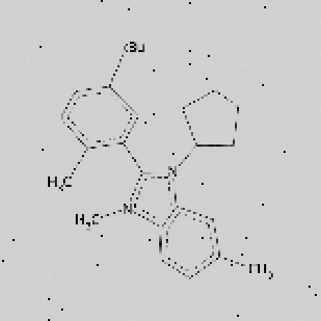 Cc1ccc2c(c1)n(C1CCCC1)c(-c1cc(C(C)(C)C)ccc1C)[n+]2C